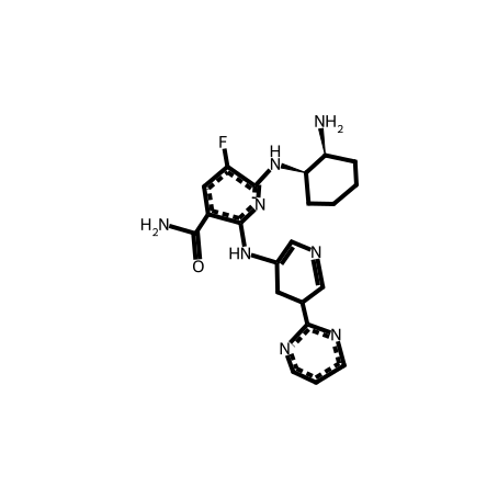 NC(=O)c1cc(F)c(N[C@@H]2CCCC[C@@H]2N)nc1NC1=CN=CC(c2ncccn2)C1